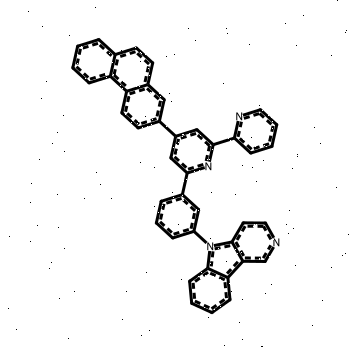 c1ccc(-c2cc(-c3ccc4c(ccc5ccccc54)c3)cc(-c3cccc(-n4c5ccccc5c5cnccc54)c3)n2)nc1